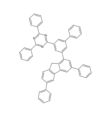 c1ccc(-c2cc(-c3nc(-c4ccccc4)nc(-c4ccccc4)n3)cc(-c3cc(-c4ccccc4)cc4c3Cc3ccc(-c5ccccc5)cc3-4)c2)cc1